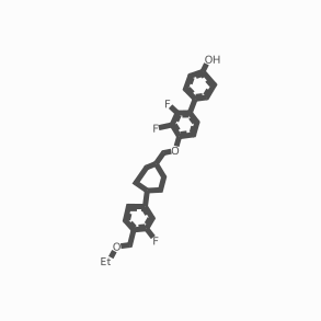 CCOCc1ccc(C2CCC(COc3ccc(-c4ccc(O)cc4)c(F)c3F)CC2)cc1F